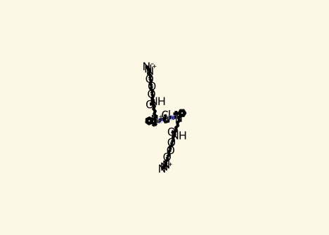 CC1(C)C(/C=C/C2=C(Cl)C(=C/C=C3/N(CCCCCC(=O)NCCOCCOCCOCCN=[N+]=[N-])c4ccccc4C3(C)C)/CC2)=[N+](CCCCCC(=O)NCCOCCOCCOCCN=[N+]=[N-])c2ccccc21